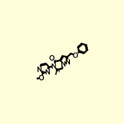 COc1nccc(N2C(=O)c3cc(COc4ccccc4)nn3C[C@H]2C)n1